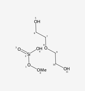 COO[Si](=O)O.OCCOCCO